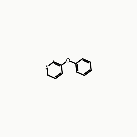 [C]1=C(Oc2ccccc2)C=CCS1